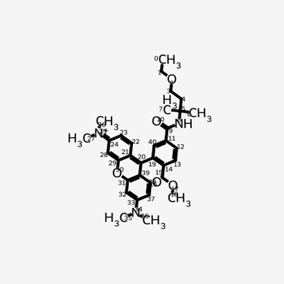 CCOCCC(C)(C)NC(=O)c1ccc(C(=O)OC)c(-c2c3ccc(=[N+](C)C)cc-3oc3cc(N(C)C)ccc23)c1